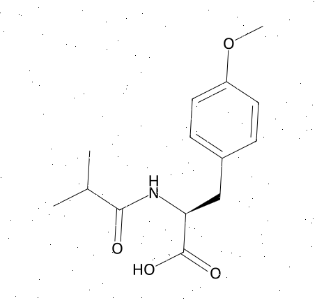 COc1ccc(C[C@H](NC(=O)C(C)C)C(=O)O)cc1